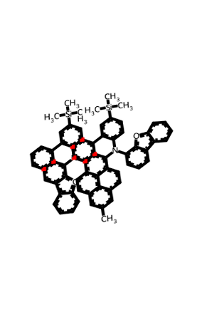 Cc1cc2ccc3c(N(c4ccc([Si](C)(C)C)cc4-c4ccccc4)c4cccc5c4oc4ccccc45)cc(N(c4ccc([Si](C)(C)C)cc4-c4ccccc4)c4cccc5c4oc4ccccc45)c4ccc(c1)c2c34